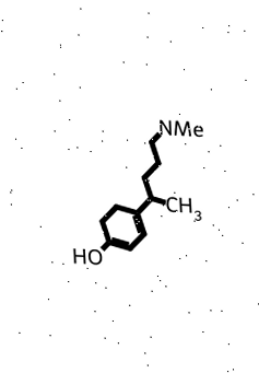 CNCCCC(C)C1=CC=C(O)CC1